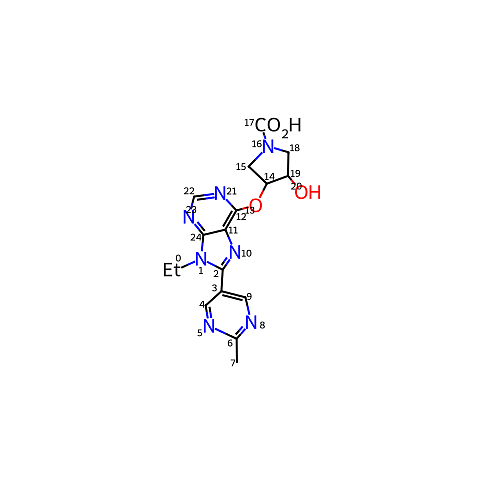 CCn1c(-c2cnc(C)nc2)nc2c(OC3CN(C(=O)O)CC3O)ncnc21